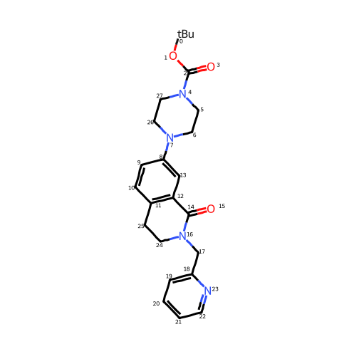 CC(C)(C)OC(=O)N1CCN(c2ccc3c(c2)C(=O)N(Cc2ccccn2)CC3)CC1